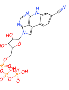 N#Cc1ccc2c(c1)Nc1ncnc3c1c-2cn3C1OC(COP(=O)(O)OP(=O)(O)OP(=O)(O)O)C(O)C1O